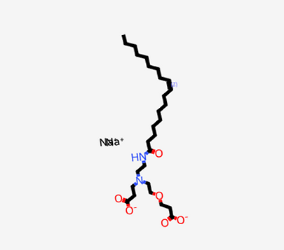 CCCCCCCC/C=C\CCCCCCCC(=O)NCCN(CCOCCC(=O)[O-])CCC(=O)[O-].[Na+].[Na+]